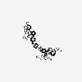 CC(C)Oc1cc2nc(N3CCN(CC4CCN(c5cccc6c5n(C)c(=O)n6C5CCC(=O)NC5=O)CC4)CC3)sc2cc1C(=O)Nc1cccn(C)c1=O